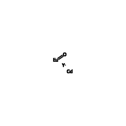 [Gd].[O]=[Eu].[Y]